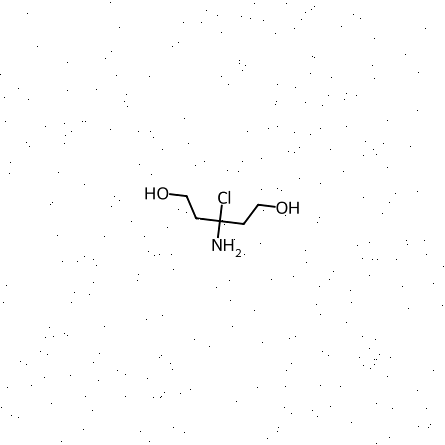 NC(Cl)(CCO)CCO